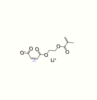 C=C(C)C(=O)OCCOC(=O)/C=C\C(=O)[O-].[Li+]